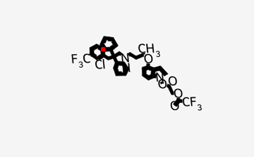 CC(CCNCC(Cc1cccc(C(F)(F)F)c1Cl)(c1ccccc1)c1ccccc1)Oc1cccc2c1ccn2OC(=O)COC(=O)C(F)(F)F